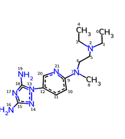 CCN(CC)CCN(C)c1ccc(-n2nc(N)nc2N)cn1